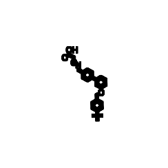 CC(C)(C)c1ccc(COc2cccc(-c3ccc(/C=N/OCC(=O)O)cc3)c2)cc1